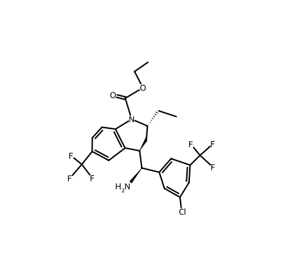 CCOC(=O)N1c2ccc(C(F)(F)F)cc2[C@H]([C@H](N)c2cc(Cl)cc(C(F)(F)F)c2)C[C@H]1CC